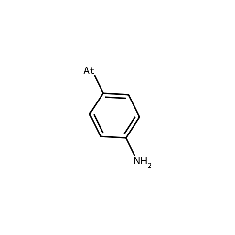 Nc1ccc([At])cc1